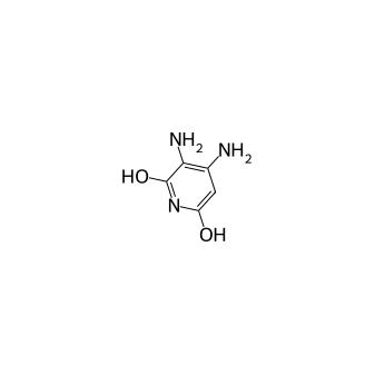 Nc1cc(O)nc(O)c1N